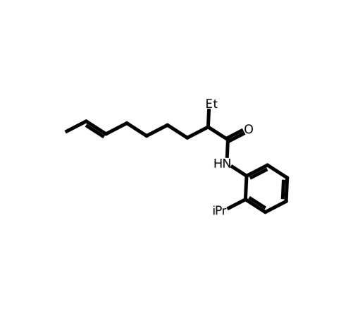 CC=CCCCCC(CC)C(=O)Nc1ccccc1C(C)C